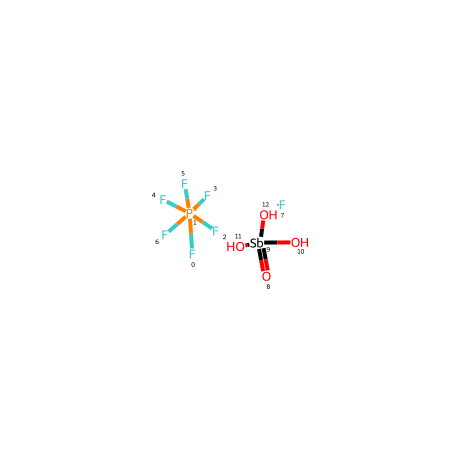 F[P-](F)(F)(F)(F)F.[F].[O]=[Sb]([OH])([OH])[OH]